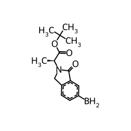 Bc1ccc2c(c1)C(=O)N([C@@H](C)C(=O)OC(C)(C)C)C2